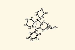 C(=C1CCCCC1P(C1CCCCC1)C1CCCCC1)c1ccccc1.[Ru+2]